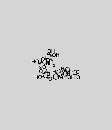 C[C@H]1O[C@@H](O[C@H]2[C@@H](O)C[C@H](O[C@H]3[C@@H](O)C[C@H](O[C@H]4CC[C@@]5(C)[C@H](CC[C@@H]6[C@@H]5C[C@@H](O)[C@]5(C)[C@@H](C7COC(=O)C7)CC[C@]65O)C4)O[C@@H]3C)O[C@@H]2N)C[C@H](O)[C@@H]1O